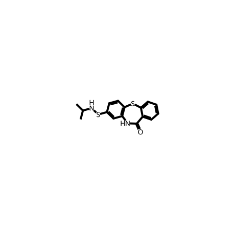 CC(C)NSc1ccc2c(c1)NC(=O)c1ccccc1S2